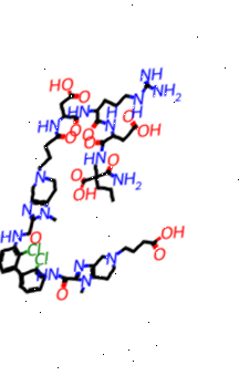 CCCC(CNC(=O)C(CC(=O)O)NC(=O)C(CCCNC(=N)N)NC(=O)C(CC(=O)O)NC(=O)CCCN1CCc2c(nc(C(=O)Nc3cccc(-c4cccc(NC(=O)c5nc6c(n5C)CCN(CCCC(=O)O)C6)c4Cl)c3Cl)n2C)C1)(C(N)=O)C(=O)O